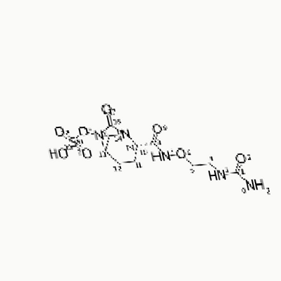 NC(=O)NCCONC(=O)[C@@H]1CCC2CN1C(=O)N2OS(=O)(=O)O